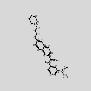 CC(O)c1cccc(NC(=O)c2ccc3cc(OCCCN4CCCCC4)ccc3c2)c1